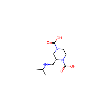 CC(C)NC[C@H]1CN(C(=O)O)CCN1C(=O)O